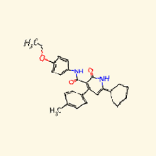 CCOc1ccc(NC(=O)c2c(-c3ccc(C)cc3)cc(C3CCCCC3)[nH]c2=O)cc1